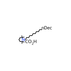 CCCCCCCCCCCCCCCCCCCCC(C(=O)O)N1C(C)(C)CCCC1(C)C